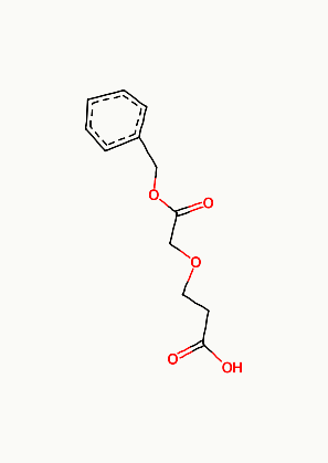 O=C(O)CCOCC(=O)OCc1ccccc1